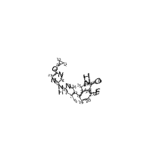 Cc1cc(Nc2cnc(OC3CC3)cn2)ncc1-c1ccc(F)c2c1CNC2=O